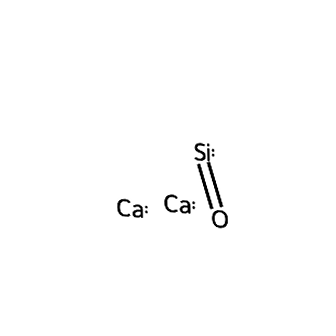 O=[Si].[Ca].[Ca]